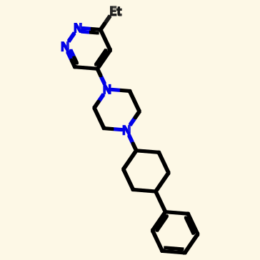 CCc1cc(N2CCN(C3CCC(c4ccccc4)CC3)CC2)cnn1